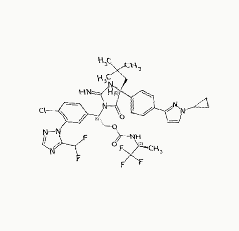 C[C@H](NC(=O)OC[C@H](c1ccc(Cl)c(-n2ncnc2C(F)F)c1)N1C(=N)N[C@](CC(C)(C)C)(c2ccc(-c3ccn(C4CC4)n3)cc2)C1=O)C(F)(F)F